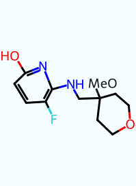 COC1(CNc2nc(O)ccc2F)CCOCC1